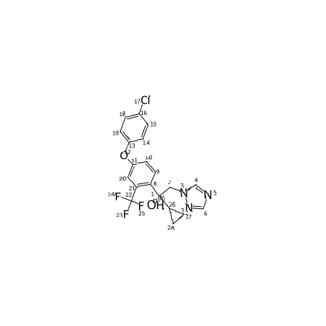 O[C@@](Cn1cncn1)(c1ccc(Oc2ccc(Cl)cc2)cc1C(F)(F)F)C1CC1